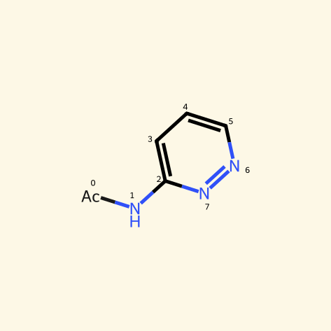 CC(=O)Nc1cccnn1